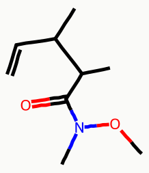 C=CC(C)C(C)C(=O)N(C)OC